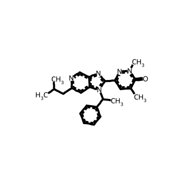 Cc1cc(-c2nc3cnc(CC(C)C)cc3n2C(C)c2ccccc2)nn(C)c1=O